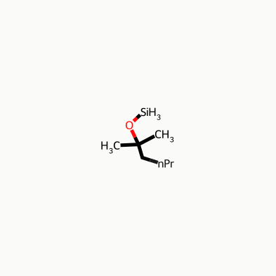 CCCCC(C)(C)O[SiH3]